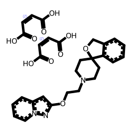 O=C(O)/C=C\C(=O)O.O=C(O)/C=C\C(=O)O.c1ccc2c(c1)COC21CCN(CCOc2cc3ccccn3n2)CC1